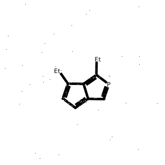 CCC1=CC=C2[C]=PC(CC)=C21